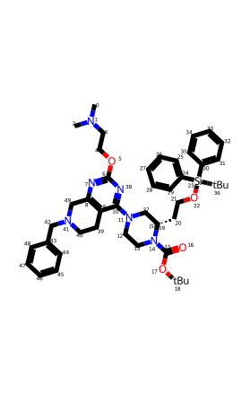 CN(C)CCOc1nc2c(c(N3CCN(C(=O)OC(C)(C)C)[C@@H](CCO[Si](c4ccccc4)(c4ccccc4)C(C)(C)C)C3)n1)CCN(Cc1ccccc1)C2